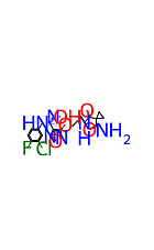 NC(=O)C1(C(=O)NCCOc2nonc2/C(=N\O)Nc2ccc(F)c(Cl)c2)CC1